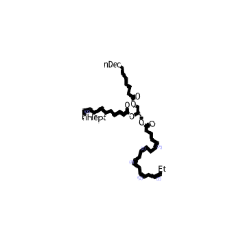 CC/C=C\C/C=C\C/C=C\C/C=C\C/C=C\CCCC(=O)OC[C@@H](COC(=O)CCCCCCCCCCCCCCCC)OC(=O)CCCCCCC/C=C\CCCCCCC